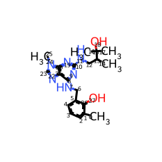 Cc1cccc(CNc2nc(NCC(C)C(C)(C)O)nc3c2ncn3C)c1O